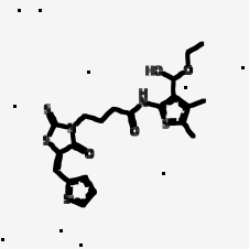 CCOC(O)c1c(NC(=O)CCCN2C(=O)/C(=C\c3cccs3)SC2=S)sc(C)c1C